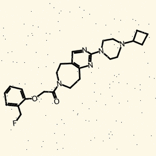 O=C(COc1ccccc1CF)N1CCc2cnc(N3CCN(C4CCC4)CC3)nc2CC1